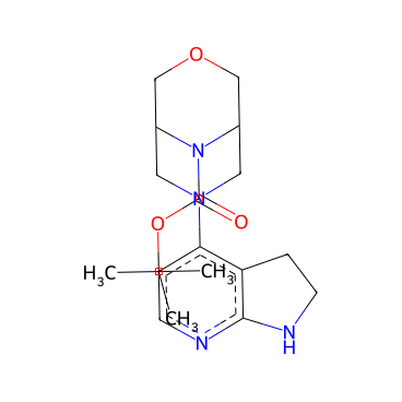 CC(C)(C)OC(=O)N1C2COCC1CN(c1ccnc3c1CCN3)C2